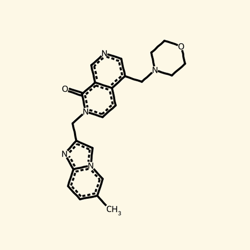 Cc1ccc2nc(Cn3ccc4c(CN5CCOCC5)cncc4c3=O)cn2c1